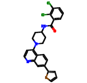 O=C(NC1CCN(c2ccnc3cc(-c4cccs4)ccc23)CC1)c1cccc(Cl)c1Cl